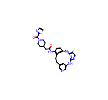 O=C(CC1CCN(C(=O)c2nccs2)CC1)Nc1ccc2cc1CCc1cncc(c1)Nc1ncc(Cl)c(n1)N2